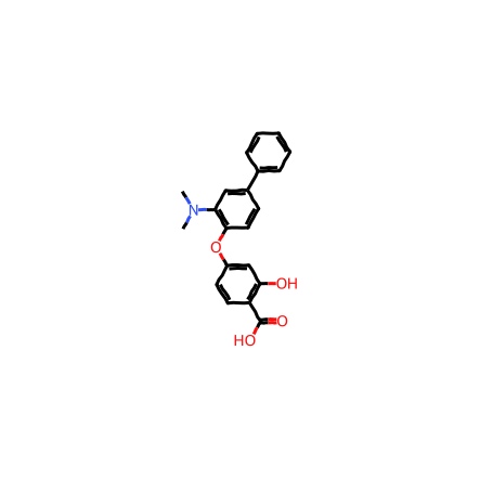 CN(C)c1cc(-c2ccccc2)ccc1Oc1ccc(C(=O)O)c(O)c1